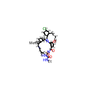 CCNC(=O)N[S@@]1(=O)=NC(=O)c2ccc3c(c2)N(Cc2ccc(Cl)cc2CCCCO3)C[C@@H]2CC[C@H]2[C@@H](OC)/C=C/C[C@H](C)C1